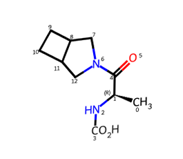 C[C@@H](NC(=O)O)C(=O)N1CC2CCC2C1